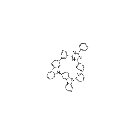 c1ccc(-c2nc(-c3ccccc3)nc(-c3cccc(-c4ccc5c6ccccc6n(-c6ccc7c(c6)c6ccccc6n7-c6ccccn6)c5c4)c3)n2)cc1